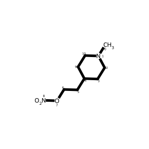 CN1CCC(CCO[N+](=O)[O-])CC1